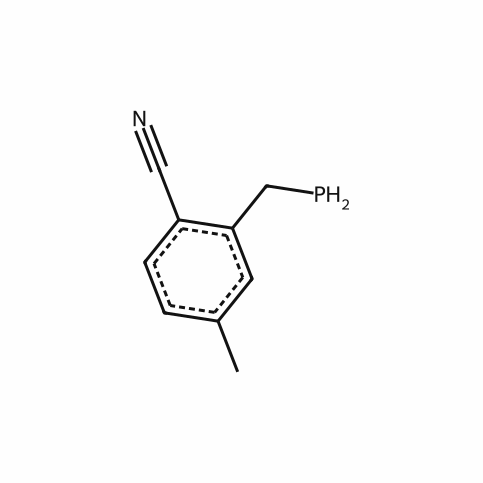 Cc1ccc(C#N)c(CP)c1